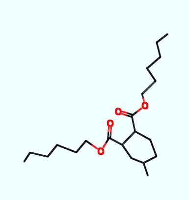 CCCCCCOC(=O)C1CCC(C)CC1C(=O)OCCCCCC